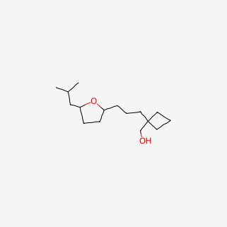 CC(C)CC1CCC(CCCC2(CO)CCC2)O1